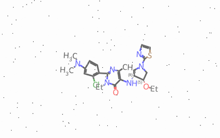 CCO[C@H]1CN(c2nccs2)C[C@H]1Nc1c(C)nc(-c2ccc(N(C)C)cc2Cl)n(CC)c1=O